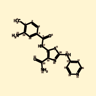 Cc1ccc(C(=O)Nc2sc(Nc3ccncc3)nc2C(N)=O)cc1N